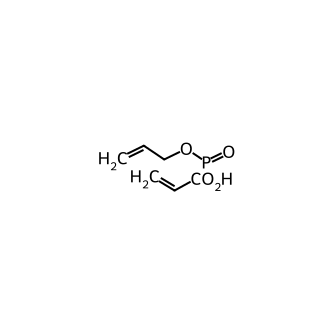 C=CC(=O)O.C=CCOP=O